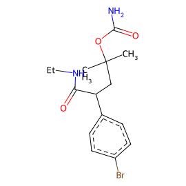 CCNC(=O)C(CC(C)(C)OC(N)=O)c1ccc(Br)cc1